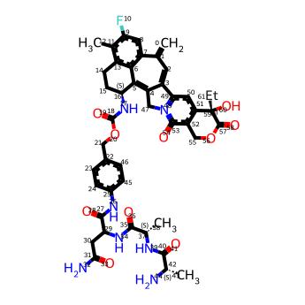 C=C1C=C2C(=C3c4c1cc(F)c(C)c4CC[C@@H]3NC(=O)OCc1ccc(NC(=O)C(CC(N)=O)NC(=O)[C@H](C)NC(=O)[C@H](C)N)cc1)Cn1c2cc2c(c1=O)COC(=O)[C@]2(O)CC